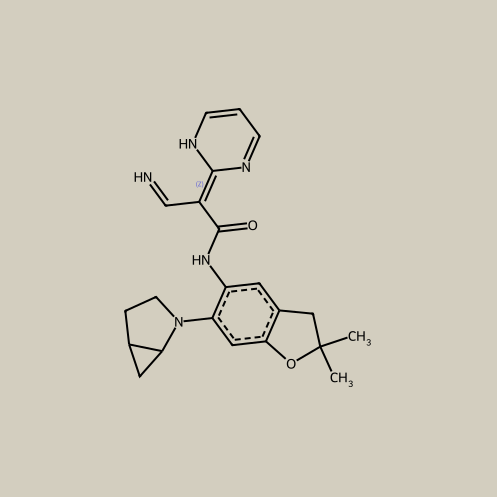 CC1(C)Cc2cc(NC(=O)/C(C=N)=C3\N=CC=CN3)c(N3CCC4CC43)cc2O1